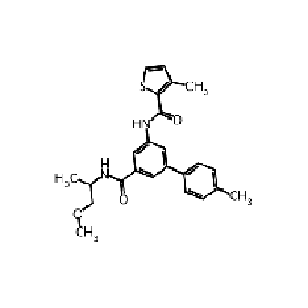 COCC(C)NC(=O)c1cc(NC(=O)c2sccc2C)cc(-c2ccc(C)cc2)c1